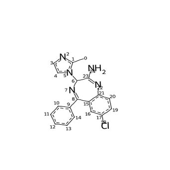 Cc1nccn1C1N=C(c2ccccc2)c2cc(Cl)ccc2N=C1N